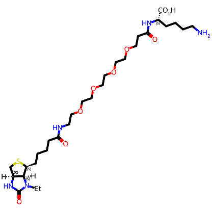 CCN1C(=O)N[C@H]2CS[C@@H](CCCCC(=O)NCCOCCOCCOCCOCCC(=O)N[C@@H](CCCCN)C(=O)O)[C@H]21